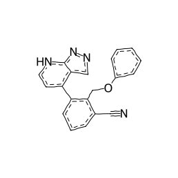 N#Cc1cccc(-c2cc[nH]c3nncc2-3)c1COc1ccccc1